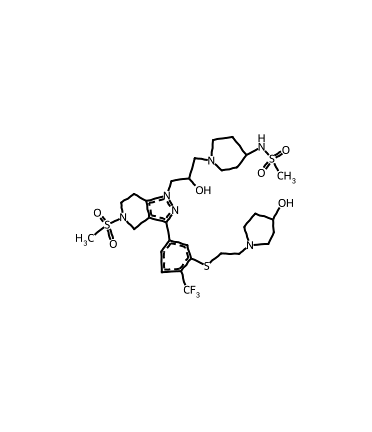 CS(=O)(=O)NC1CCN(CC(O)Cn2nc(-c3ccc(C(F)(F)F)c(SCCN4CCC(O)CC4)c3)c3c2CCN(S(C)(=O)=O)C3)CC1